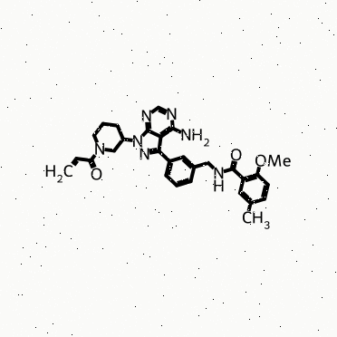 C=CC(=O)N1CCCC(n2nc(-c3cccc(CNC(=O)c4cc(C)ccc4OC)c3)c3c(N)ncnc32)C1